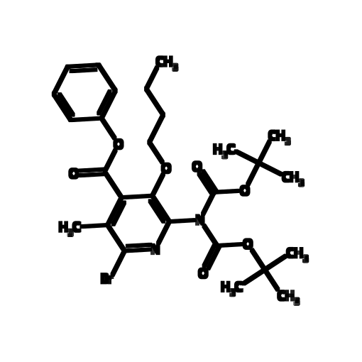 CCCCOc1c(N(C(=O)OC(C)(C)C)C(=O)OC(C)(C)C)nc(Br)c(C)c1C(=O)Oc1ccccc1